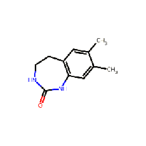 Cc1cc2c(cc1C)NC(=O)NCC2